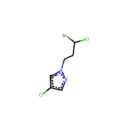 Clc1cnn(CCC(Cl)Br)c1